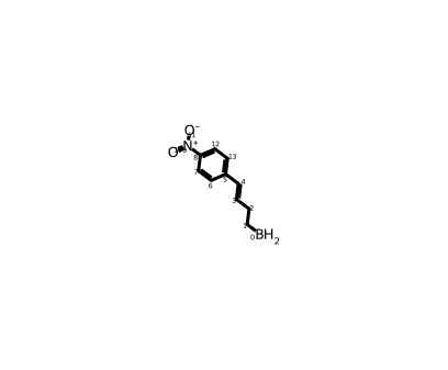 BCC/C=C/c1ccc([N+](=O)[O-])cc1